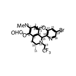 CNc1ccc2c(c1OC=O)C[C@@H](C)N(CC(F)(F)F)C2c1ncc(Br)cc1OC